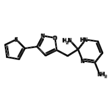 NC1=NC(N)(Cc2cc(-c3cccs3)no2)NC=C1